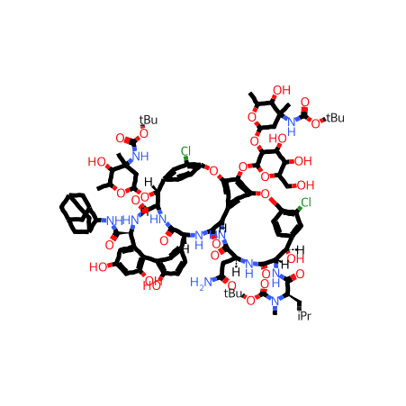 CC(C)C[C@H](C(=O)N[C@H]1C(=O)N[C@@H](CC(N)=O)C(=O)N[C@H]2C(=O)N[C@H]3C(=O)N[C@H](C(=O)N[C@H](C(=O)NC4C5CC6CC(C5)CC4C6)c4cc(O)cc(O)c4-c4cc3ccc4O)[C@H](OC3CC(C)(NC(=O)OC(C)(C)C)C(O)C(C)O3)c3ccc(c(Cl)c3)Oc3cc2cc(c3OC2OC(CO)C(O)C(O)C2OC2CC(C)(NC(=O)OC(C)(C)C)C(O)C(C)O2)Oc2ccc(cc2Cl)[C@H]1O)N(C)C(=O)OC(C)(C)C